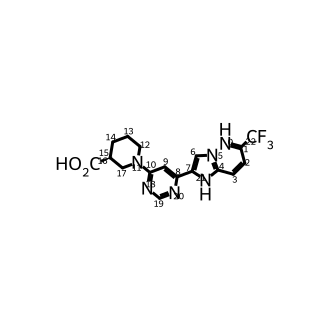 N=C(/C=C\c1ncc(-c2cc(N3CCC[C@H](C(=O)O)C3)ncn2)[nH]1)C(F)(F)F